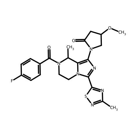 COC1CC(=O)N(c2nc(-c3nc(C)ns3)n3c2C(C)N(C(=O)c2ccc(F)cc2)CC3)C1